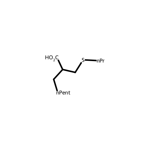 CCCCCCC(CSCCC)C(=O)O